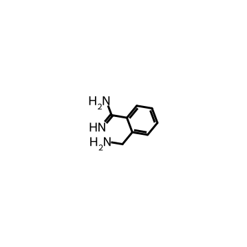 N=C(N)c1ccccc1CN